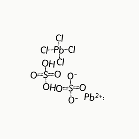 O=S(=O)(O)O.O=S(=O)([O-])[O-].[Cl][Pb]([Cl])([Cl])[Cl].[Pb+2]